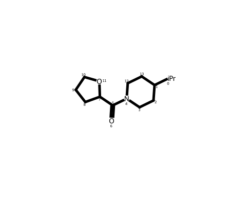 CC(C)C1CCN(C(=O)C2CCCO2)CC1